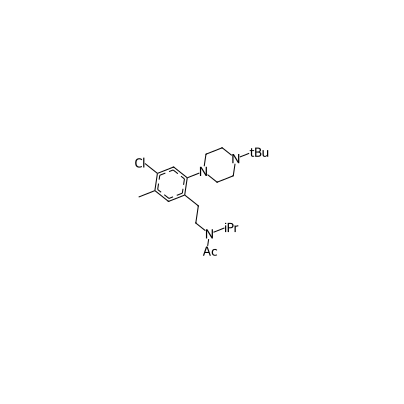 CC(=O)N(CCc1cc(C)c(Cl)cc1N1CCN(C(C)(C)C)CC1)C(C)C